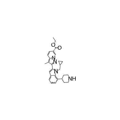 CCOC(=O)c1ccc2c(C)c(-c3cc4cccc(C5CCNCC5)c4n3CC3CC3)nn2c1